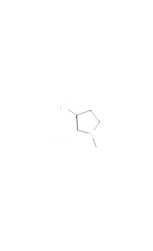 CN1CCC(O)[C@H]1C(=O)O